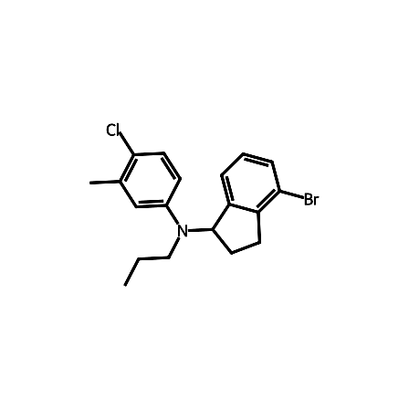 CCCN(c1ccc(Cl)c(C)c1)C1CCc2c(Br)cccc21